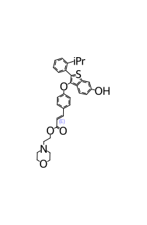 CC(C)c1ccccc1-c1sc2cc(O)ccc2c1Oc1ccc(/C=C/C(=O)OCCN2CCOCC2)cc1